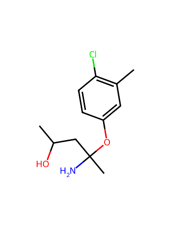 Cc1cc(OC(C)(N)CC(C)O)ccc1Cl